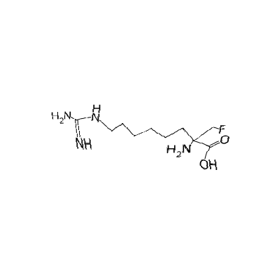 N=C(N)NCCCCCCC(N)(CF)C(=O)O